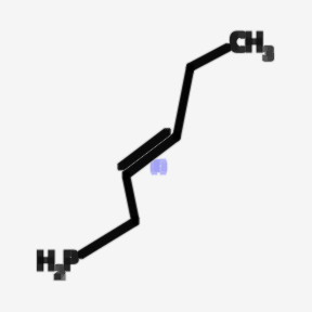 CC/C=C/CP